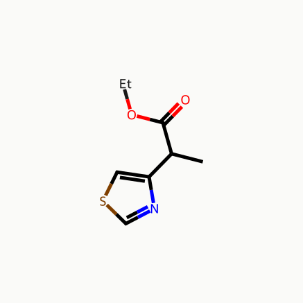 CCOC(=O)C(C)c1cscn1